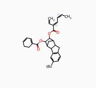 C=C/C(=C\C=C/C)C(=O)OC1C2CC(C1OC(=O)C1=CC=CCC1)C1c3cc(C(C)(C)C)ccc3CC21